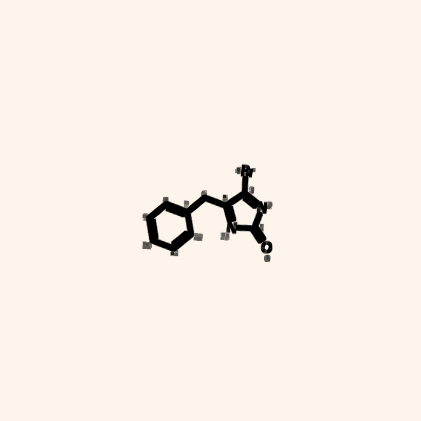 O=C1N=C(Br)C(Cc2ccccc2)=N1